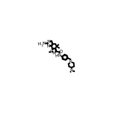 CN(C)C1CCN(Cc2ccc(NC(=O)c3nn(C)c4c3C(C)(C)Cc3cnc(N)nc3-4)cc2)CC1